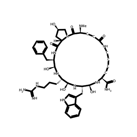 CN[C@H]1CCC(=O)NCCCC[C@@H](C(N)=O)N[C@@H](O)[C@H](Cc2c[nH]c3ccccc23)N[C@@H](O)[C@H](CCCNC(=N)N)N[C@@H](O)[C@@H](Cc2ccccc2)NC(=O)[C@@H]2C[C@@H](O)CN2C1=O